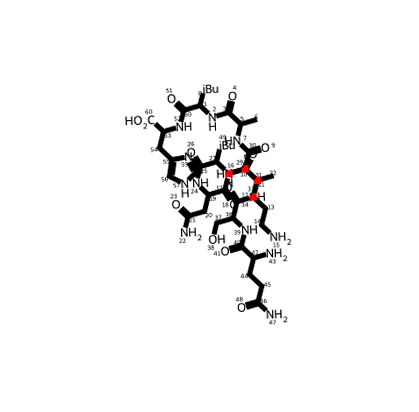 CCC(C)C(NC(=O)C(C)NC(=O)C(CCCCN)NC(=O)C(CC(N)=O)NC(=O)C(NC(=O)C(C)NC(=O)C(CO)NC(=O)C(N)CCC(N)=O)C(C)CC)C(=O)NC(Cc1c[nH]cn1)C(=O)O